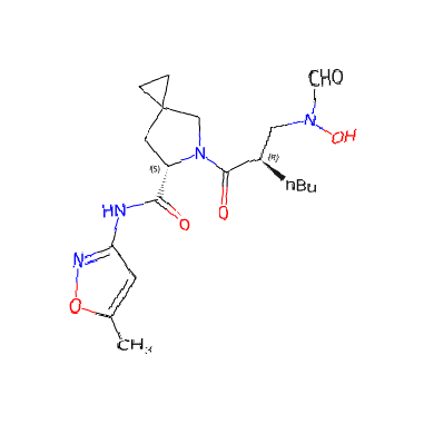 CCCC[C@H](CN(O)C=O)C(=O)N1CC2(CC2)C[C@H]1C(=O)Nc1cc(C)on1